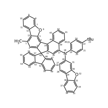 Cc1cc2c(c3oc4ccccc4c13)-c1c(cc(N(c3ccc(C(C)(C)C)cc3)c3ccc4c(c3)oc3ccccc34)c3ccccc13)C21c2ccccc2-c2ccccc21